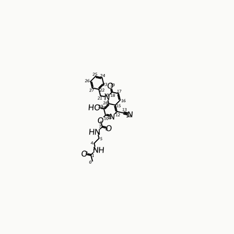 CC(=O)NCCNC(=O)Oc1nc(C#N)c2ccc(=O)n(Cc3ccccc3)c2c1O